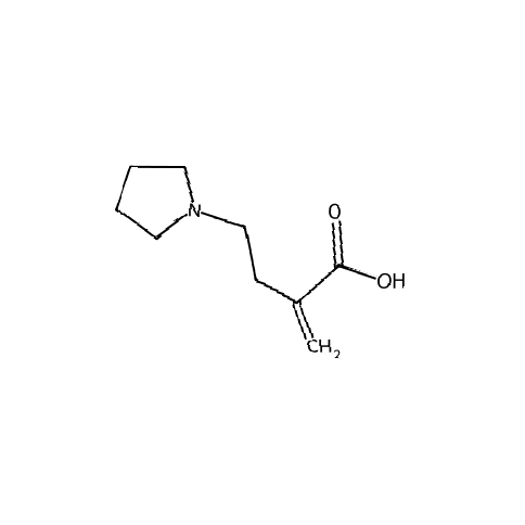 C=C(CCN1CCCC1)C(=O)O